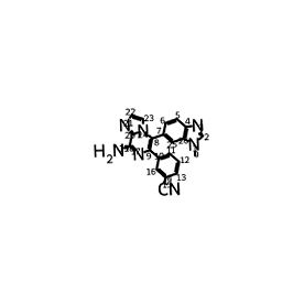 Cn1cnc2ccc(-c3c(-c4cccc(C#N)c4)nc(N)c4nccn34)cc21